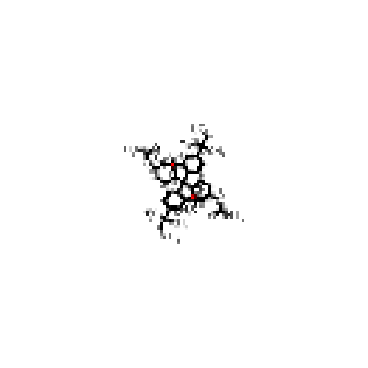 CCC(C)(C)c1ccc(C(c2ccc(C(C)(C)CC)cc2C(C)(C)CC)(C2CCC(OC(N)=O)CC2)C2CCC(OC(N)=O)CC2)c(C(C)(C)CC)c1